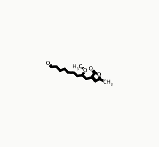 COC(CCCCCCC=O)CC1=CC(C)OC1=O